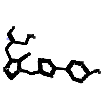 NC/C(=C\F)Cn1ncn(Cc2ccc(-c3cnc(N)nc3)s2)c1=O